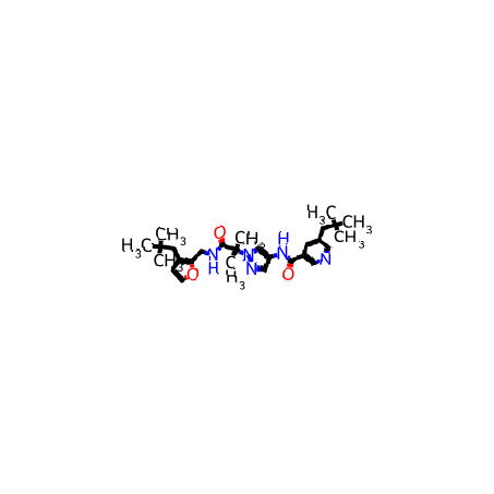 CC(C)(C)Cc1cncc(C(=O)Nc2cnn(C(C)(C)C(=O)NCc3occc3CC(C)(C)C)c2)c1